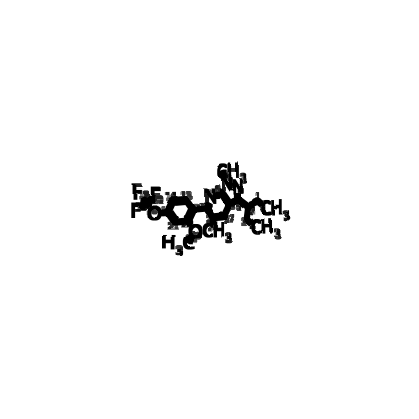 CCC(CC)c1nn(C)c2nc(-c3ccc(OC(F)(F)F)cc3OC)c(C)cc12